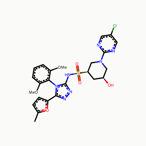 COc1cccc(OC)c1-n1c(NS(=O)(=O)[C@@H]2C[C@H](O)CN(c3ncc(Cl)cn3)C2)nnc1-c1ccc(C)o1